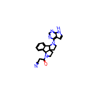 N#CCC(=O)N1CCC23CCN(c4ncnc5[nH]ccc45)C2c2ccccc2C13